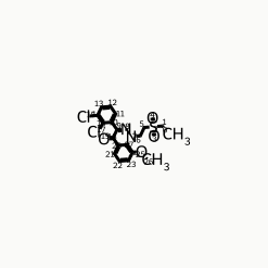 CCS(=O)(=O)CCn1nc(-c2cccc(Cl)c2Cl)c(=O)c2cccc(OC)c21